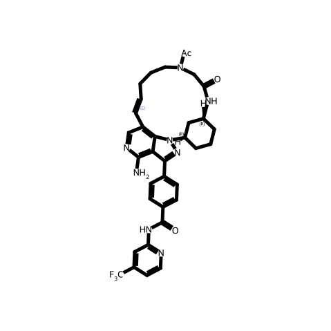 CC(=O)N1CCC/C=C/c2cnc(N)c3c(-c4ccc(C(=O)Nc5cc(C(F)(F)F)ccn5)cc4)nn(c23)[C@@H]2CCC[C@H](C2)NC(=O)C1